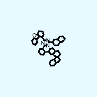 c1ccc(-c2nc(-c3ccc4ccccc4c3)nc(-c3cccc4oc5ccccc5c34)n2)c(-c2ccc3ccc4ccc5ccccc5c4c3c2)c1